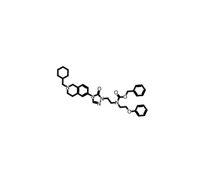 O=C(OCc1ccccc1)N(CCOc1ccccc1)CCn1ncn(-c2ccc3c(c2)CCN(CC2CCCCC2)C3)c1=O